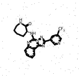 O=C1NCCCC[C@H]1Nc1nc2ccccc2c2nc(-c3cncc(C(F)(F)F)c3)nn12